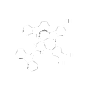 Cc1ccc2c(c1)c1ccccc1n2-c1cc(C)c(C)cc1-c1cc(-n2c3ccccc3c3ccccc32)nc(-n2c3ccccc3c3ccccc32)n1